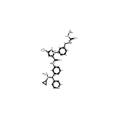 CN(C1CC1)C(c1ccncc1)c1cccc(NC(=O)c2cc(C(F)(F)F)nn2-c2cccc(CNC(=O)OC(C)(C)C)c2)c1